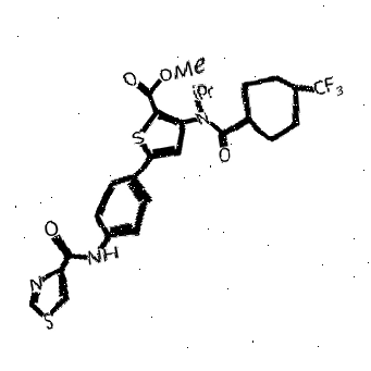 COC(=O)c1sc(-c2ccc(NC(=O)c3cscn3)cc2)cc1N(C(=O)C1CCC(C(F)(F)F)CC1)C(C)C